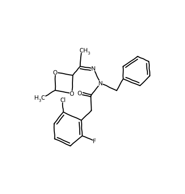 C/C(=N/N(Cc1ccccc1)C(=O)Cc1c(F)cccc1Cl)C1OC(C)O1